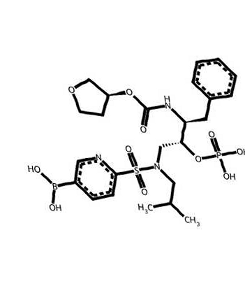 CC(C)CN(C[C@@H](OP(=O)(O)O)[C@H](Cc1ccccc1)NC(=O)O[C@H]1CCOC1)S(=O)(=O)c1ccc(B(O)O)cn1